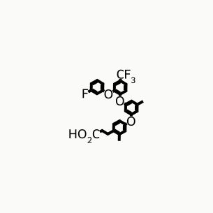 Cc1cc(Oc2ccc(CCC(=O)O)c(C)c2)cc(Oc2ccc(C(F)(F)F)cc2Oc2cccc(F)c2)c1